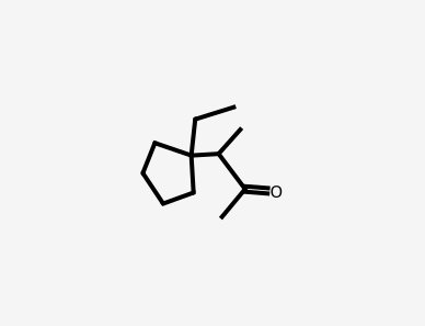 CCC1(C(C)C(C)=O)CCCC1